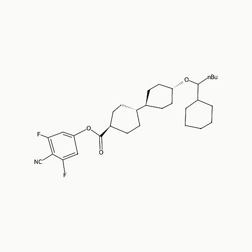 CCCCC(O[C@H]1CC[C@H]([C@H]2CC[C@H](C(=O)Oc3cc(F)c(C#N)c(F)c3)CC2)CC1)C1CCCCC1